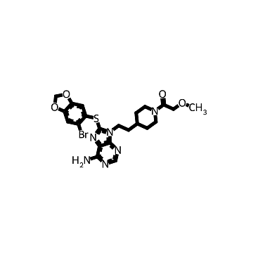 COCC(=O)N1CCC(CCn2c(Sc3cc4c(cc3Br)OCO4)nc3c(N)ncnc32)CC1